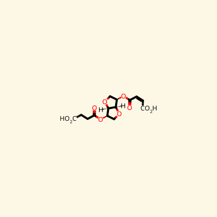 O=C(O)/C=C\C(=O)O[C@@H]1CO[C@H]2[C@@H]1OC[C@H]2OC(=O)CCC(=O)O